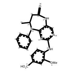 COc1cc(C(=O)O)ccc1Nc1ncc2c(n1)N(c1ccccc1)C(C)CC(=O)N2